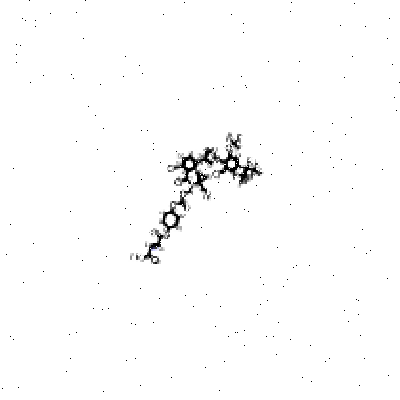 N#CC1(N(COC(=O)OC2CCC(OC(=O)/C=C/C(=O)O)CC2)C(=O)c2cc(-c3cnn(-c4c(Cl)cc(C(F)(C(F)(F)F)C(F)(F)F)cc4OC(F)(F)F)c3)ccc2Cl)CC1